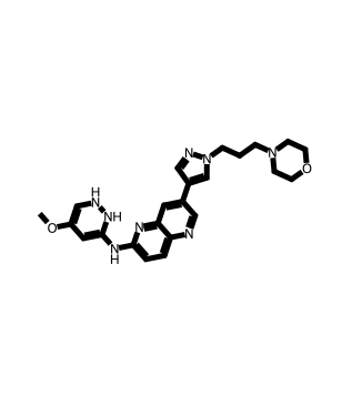 COC1=CNNC(Nc2ccc3ncc(-c4cnn(CCCN5CCOCC5)c4)cc3n2)=C1